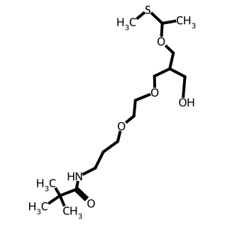 CSC(C)OCC(CO)COCCOCCCNC(=O)C(C)(C)C